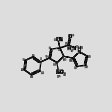 N#CC1(C(N)=O)C=C(c2ccccc2)C([N+](=O)[O-])C1c1ccc[nH]1